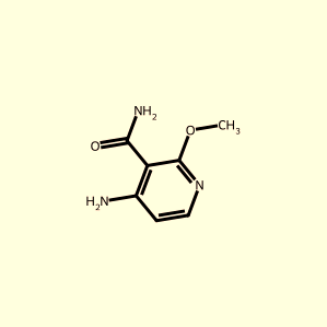 COc1nccc(N)c1C(N)=O